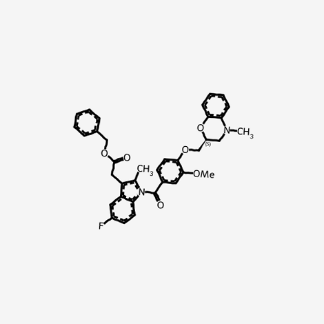 COc1cc(C(=O)n2c(C)c(CC(=O)OCc3ccccc3)c3cc(F)ccc32)ccc1OC[C@@H]1CN(C)c2ccccc2O1